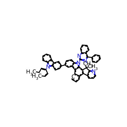 C/C=C\C(=C/CC)n1c2ccccc2c2cc(-c3ccc4c(c3)c3c5ccccc5c5c(c3n4-c3nc(-c4ccccc4)c4ccccc4n3)C(C)(C)c3ncccc3-5)ccc21